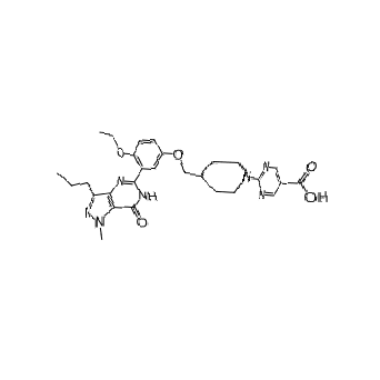 CCCc1nn(C)c2c(=O)[nH]c(-c3cc(OCC4CCN(c5ncc(C(=O)O)cn5)CC4)ccc3OCC)nc12